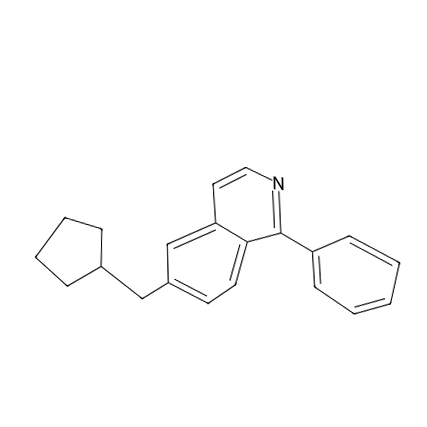 c1ccc(-c2nccc3cc(CC4CCCC4)ccc23)cc1